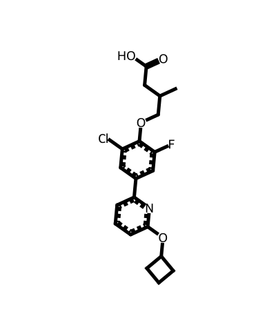 CC(COc1c(F)cc(-c2cccc(OC3CCC3)n2)cc1Cl)CC(=O)O